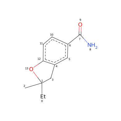 CCC1(C)Cc2cc(C(N)=O)ccc2O1